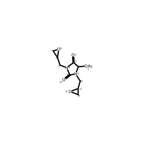 CC(=O)OC1C(=O)N(CC2CO2)C(=O)N1CC1CO1